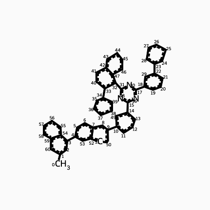 Cc1cc(-c2ccc3cc(-c4cccc(-c5nc(-c6cccc(-c7ccccc7)c6)nc(-c6c(-c7ccccc7)ccc7ccccc67)n5)c4)ccc3c2)c2ccccc2c1